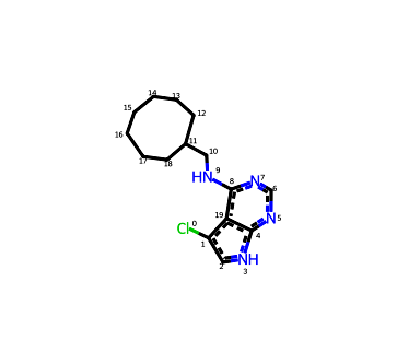 Clc1c[nH]c2ncnc(NCC3CCCCCCC3)c12